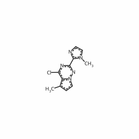 Cc1ccn2nc(-c3nccn3C)nc(Cl)c12